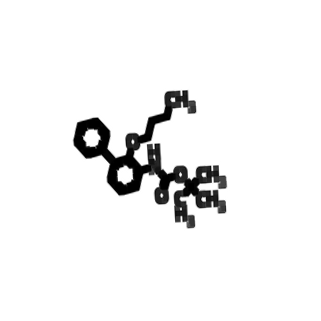 CCCCOc1c(NC(=O)OC(C)(C)C)cccc1-c1ccccc1